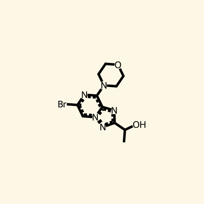 CC(O)c1nc2c(N3CCOCC3)nc(Br)cn2n1